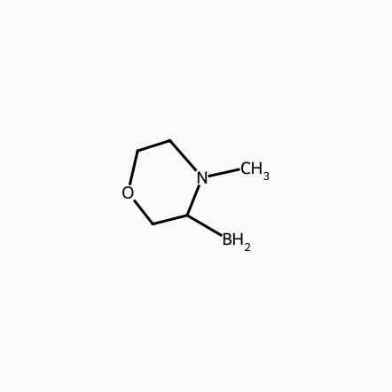 BC1COCCN1C